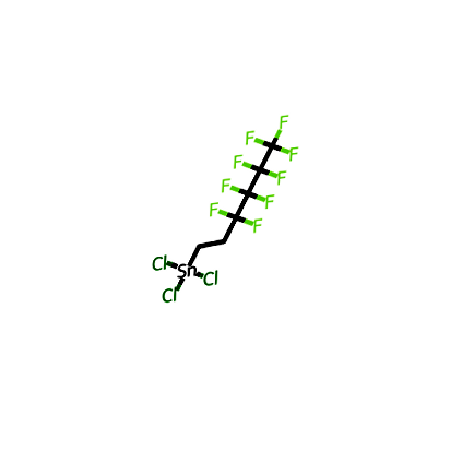 FC(F)(F)C(F)(F)C(F)(F)C(F)(F)C[CH2][Sn]([Cl])([Cl])[Cl]